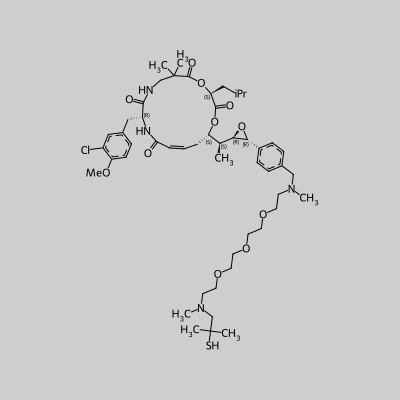 COc1ccc(C[C@H]2NC(=O)C=CC[C@@H]([C@H](C)[C@H]3O[C@@H]3c3ccc(CN(C)CCOCCOCCOCCN(C)CC(C)(C)S)cc3)OC(=O)[C@H](CC(C)C)OC(=O)C(C)(C)CNC2=O)cc1Cl